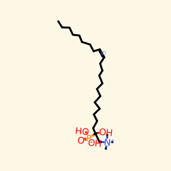 CCCCCCCC/C=C\CCCCCCCCCCCC(O)(C[N+](C)(C)C)P(=O)(O)O